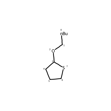 CCCCCOC1CCCS1